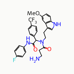 COc1ccc2[nH]cc(CCN(C(=O)CCN)C(C(=O)Nc3ccc(F)cc3)c3ccc(C(F)(F)F)cc3)c2c1